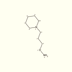 NOCCCN1CCCCC1